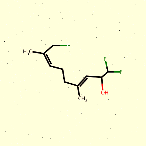 CC(=CCCC(C)=CC(O)C(F)F)CF